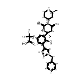 C[C@H]1C[C@@H](N2C(=N)N[C@](C)(c3cccc(-c4cn(Cc5ccncc5)nn4)c3Cl)CC2=O)CCO1.O=C(O)C(F)(F)F